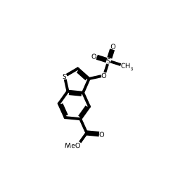 COC(=O)c1ccc2scc(OS(C)(=O)=O)c2c1